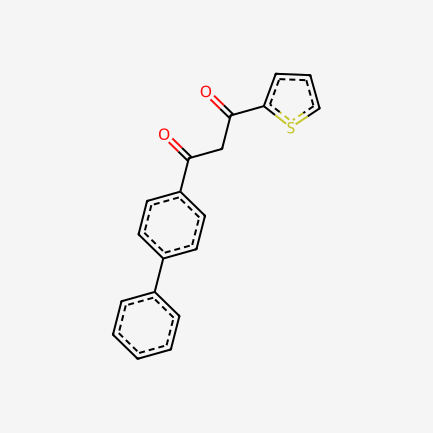 O=C(CC(=O)c1cccs1)c1ccc(-c2ccccc2)cc1